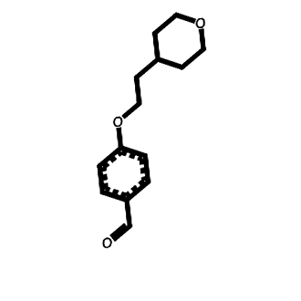 O=Cc1ccc(OCCC2CCOCC2)cc1